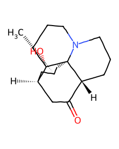 C[C@@H]1C[C@H]2CC(=O)[C@H]3CCCN4CCC[C@]2(O)[C@]34C1